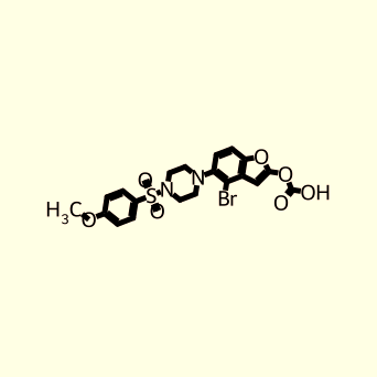 COc1ccc(S(=O)(=O)N2CCN(c3ccc4oc(OC(=O)O)cc4c3Br)CC2)cc1